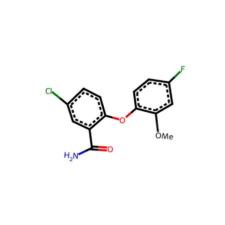 COc1cc(F)ccc1Oc1ccc(Cl)cc1C(N)=O